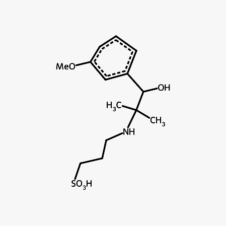 COc1cccc(C(O)C(C)(C)NCCCS(=O)(=O)O)c1